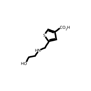 O=C(O)c1csc(CNCCO)c1